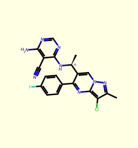 Cc1nn2cc([C@H](C)Nc3ncnc(N)c3C#N)c(-c3ccc(F)cc3)nc2c1Cl